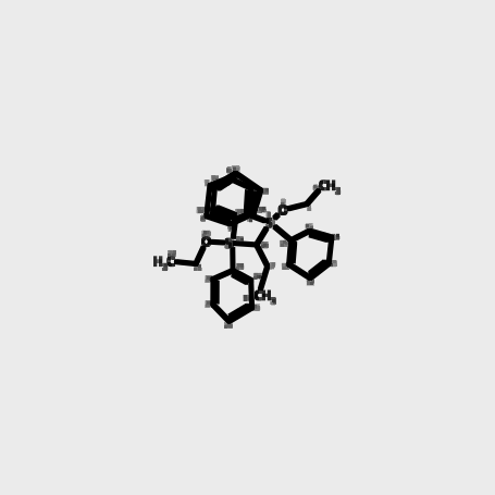 CCO[Si](c1ccccc1)(c1ccccc1)C(CC)[Si](OCC)(c1ccccc1)c1ccccc1